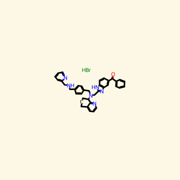 Br.O=C(c1ccccc1)c1ccc2[nH]c(CN(Cc3ccc(CNCc4ccccn4)cc3)C3CCCc4cccnc43)nc2c1